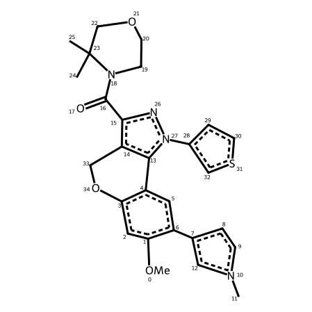 COc1cc2c(cc1-c1ccn(C)c1)-c1c(c(C(=O)N3CCOCC3(C)C)nn1-c1ccsc1)CO2